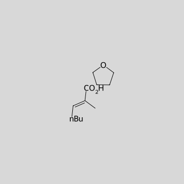 C1CCOC1.CCCCC=C(C)C(=O)O